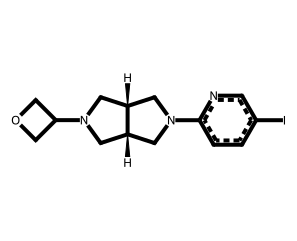 Ic1ccc(N2C[C@@H]3CN(C4COC4)C[C@@H]3C2)nc1